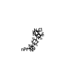 CCCc1noc(N2CCC(n3cc(F)c4c(Cl)ncnc43)CC2)n1